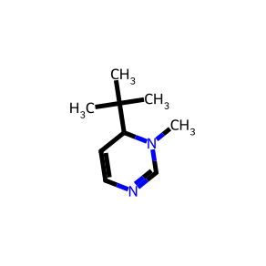 CN1C=NC=CC1C(C)(C)C